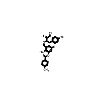 Cc1ccc(C(=O)Oc2cc(Br)cc(/C=N\C(Cc3ccc(O)cc3)C(=O)CO)c2O)cc1